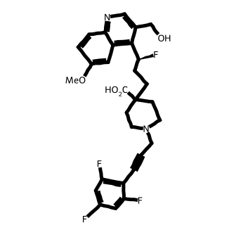 COc1ccc2ncc(CO)c([C@@H](F)CCC3(C(=O)O)CCN(CC#Cc4c(F)cc(F)cc4F)CC3)c2c1